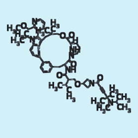 CCn1c(-c2cccnc2[C@H](C)OC)c2c3cc(ccc31)-c1cccc(c1)C[C@H](NC(=O)C(COC1CN(C(=O)C#CC(C)(C)N(C)C(C)C)C1)C(C)C)C(=O)N1CCC[C@H](N1)C(=O)OCC(C)(C)C2